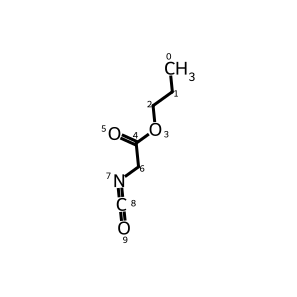 CCCOC(=O)CN=C=O